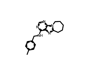 Cc1ccc(CNc2ncnc3c2nc2n3CCCCC2)cc1